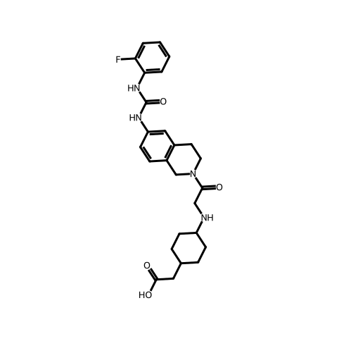 O=C(O)CC1CCC(NCC(=O)N2CCc3cc(NC(=O)Nc4ccccc4F)ccc3C2)CC1